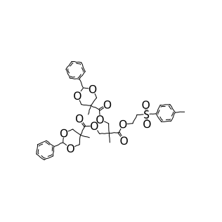 Cc1ccc(S(=O)(=O)CCOC(=O)C(C)(COC(=O)C2(C)COC(c3ccccc3)OC2)COC(=O)C2(C)COC(c3ccccc3)OC2)cc1